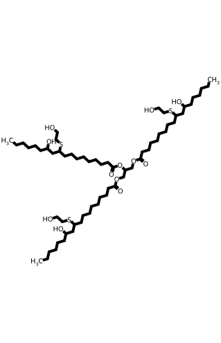 CCCCCCC(O)CC(CCCCCCCCC(=O)OCC(COC(=O)CCCCCCCCC(CC(O)CCCCCC)SCCO)OC(=O)CCCCCCCCC(CC(O)CCCCCC)SCCO)SCCO